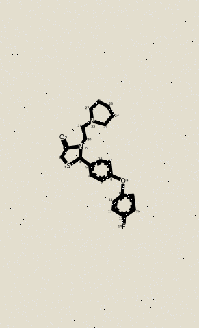 O=C1CSC(c2ccc(Oc3ccc(F)cc3)cc2)N1CCN1CCCCC1